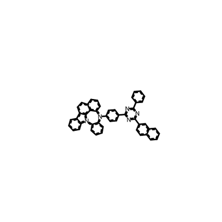 c1ccc(-c2nc(-c3ccc(-n4c5cccc6ccc7c8ccccc8n(c8ccccc84)c7c65)cc3)nc(-c3ccc4ccccc4c3)n2)cc1